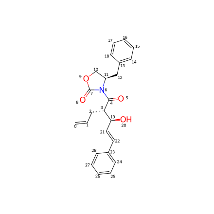 C=CC[C@H](C(=O)N1C(=O)OC[C@H]1Cc1ccccc1)[C@@H](O)/C=C/c1ccccc1